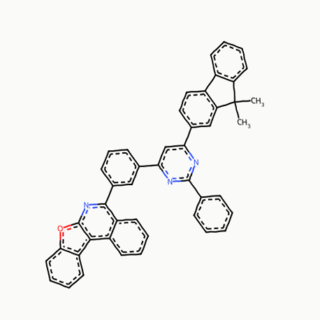 CC1(C)c2ccccc2-c2ccc(-c3cc(-c4cccc(-c5nc6oc7ccccc7c6c6ccccc56)c4)nc(-c4ccccc4)n3)cc21